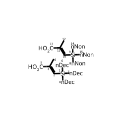 CCCCCCCCCC[Si](C=C(C)C(=O)O)(CCCCCCCCCC)CCCCCCCCCC.CCCCCCCCC[Si](C=C(C)C(=O)O)(CCCCCCCCC)CCCCCCCCC